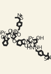 Cc1ncsc1-c1ccc(CNC(=N)[C@@H]2C[C@@H](O)CN2C(=O)[C@H](C(C)C)N2Cc3cc(O[C@H]4CN(C(=O)[C@H](C(C)C)N5Cc6ccccc6C5=O)C(C)(C(=O)NCc5ccc(-c6scnc6C)cc5)C4)ccc3C2=O)cc1